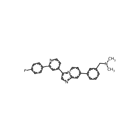 CN(C)Cc1cccc(-c2ccn3c(-c4ccnc(-c5ccc(F)cc5)c4)cnc3c2)c1